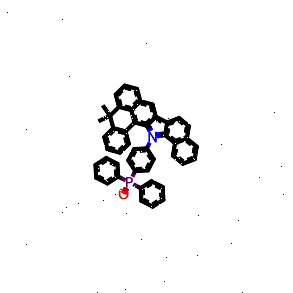 CC1(C)c2ccccc2-c2c3c1cccc3cc1c3ccc4ccccc4c3n(-c3ccc(P(=O)(c4ccccc4)c4ccccc4)cc3)c21